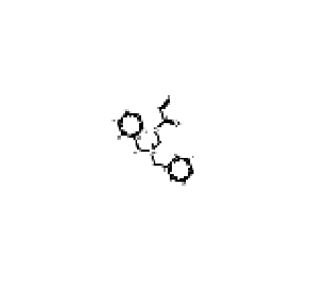 C=CC(=O)OC[SH](Cc1ccccc1)Cc1ccccc1